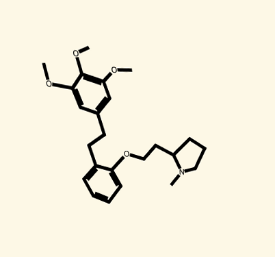 COc1cc(CCc2ccccc2OCCC2CCCN2C)cc(OC)c1OC